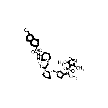 Cc1noc(C)c1S(=O)(=O)N(C)C1CCN(C[C@@H]2CCCN2C(=O)CN2CCC[C@H](NS(=O)(=O)c3ccc4cc(Cl)ccc4c3)C2=O)C1